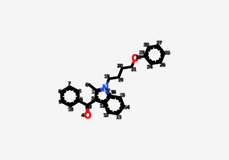 Cc1c(C(=O)c2ccccc2)c2ccccc2n1CCCCOc1ccccc1